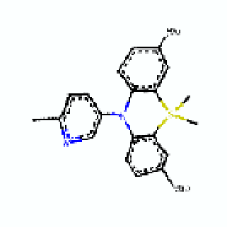 Cc1ccc(N2c3ccc(C(C)(C)C)cc3S(C)(C)c3cc(C(C)(C)C)ccc32)cn1